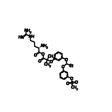 CCC(Oc1cccc(OC(C)(C)C(=O)OC(=O)[C@@H](N)CCCNC(=N)N)c1)Oc1cccc(OS(C)(=O)=O)c1